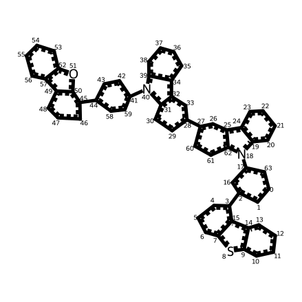 c1cc(-c2cccc3sc4ccccc4c23)cc(-n2c3ccccc3c3cc(-c4ccc5c(c4)c4ccccc4n5-c4ccc(-c5cccc6c5oc5ccccc56)cc4)ccc32)c1